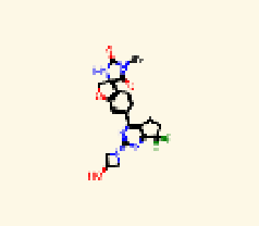 CC(C)N1C(=O)NC2(COc3cc(-c4nc(N5CC(O)C5)nc5c4CCC5(F)F)ccc32)C1=O